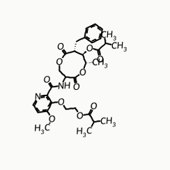 COc1ccnc(C(=O)NC2COC(=O)[C@H](Cc3ccccc3)[C@@H](OC(=O)C(C)C)[C@H](C)OC2=O)c1OCCOC(=O)C(C)C